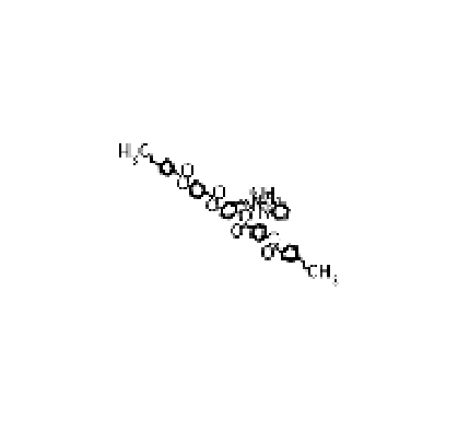 CCCc1ccc(C(=O)Oc2ccc(C(=O)Oc3ccc(OC(=O)c4ccc(OC(=O)c5ccc(CCC)cc5)cc4)c(/C=N/N(C)c4nc5ccccc5s4)c3)cc2)cc1